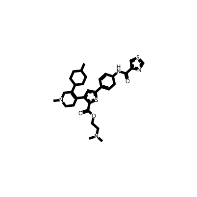 CC1CCC(C2=C(c3cc(C4=CCC(NC(=O)c5cscn5)C=C4)sc3C(=O)OCCN(C)C)CCN(C)C2)CC1